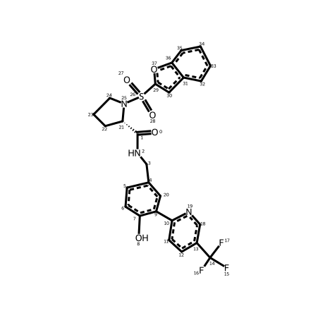 O=C(NCc1ccc(O)c(-c2ccc(C(F)(F)F)cn2)c1)[C@@H]1CCCN1S(=O)(=O)c1cc2ccccc2o1